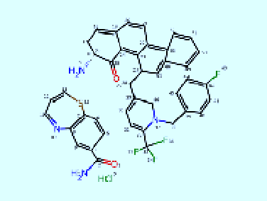 Cl.NC(=O)c1ccc2c(c1)N=CC=CS2.N[C@@H]1CC=c2ccc3c(c2C1=O)C(CC1=CC=C(C(F)(F)F)N(Cc2ccc(F)cc2)C1)C=c1ccccc1=3